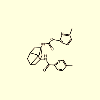 Cc1ccc(C(=O)NC23CC4CC(CC(NC(=O)Oc5cccc(C)n5)(C4)C2)C3)nc1